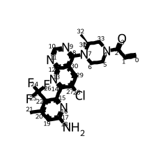 C=CC(=O)N1CCN(c2ncnc3nc(-c4nc(N)cc(C)c4C(F)(F)F)c(Cl)cc23)[C@@H](C)C1